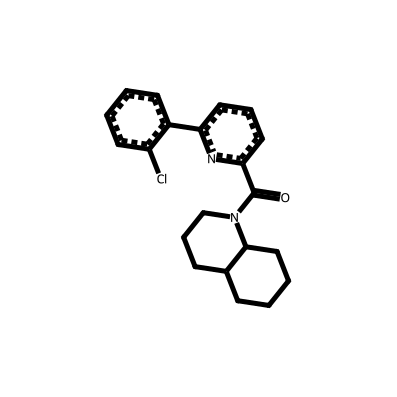 O=C(c1cccc(-c2ccccc2Cl)n1)N1CCCC2CCCCC21